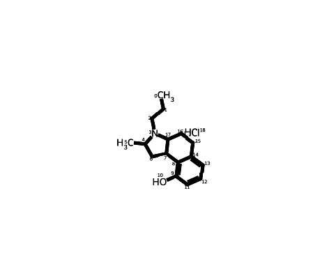 CCCN1C(C)CC2c3c(O)cccc3CCC21.Cl